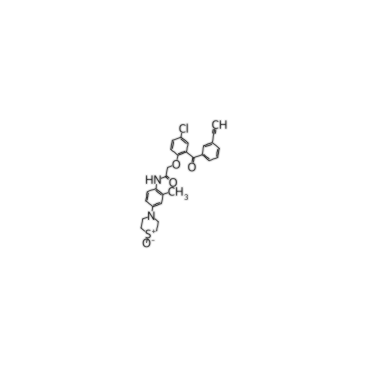 C#Cc1cccc(C(=O)c2cc(Cl)ccc2OCC(=O)Nc2ccc(N3CC[S+]([O-])CC3)cc2C)c1